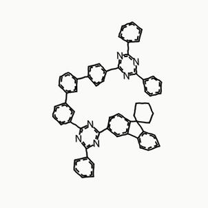 c1ccc(-c2nc(-c3ccccc3)nc(-c3ccc(-c4cccc(-c5cccc(-c6nc(-c7ccccc7)nc(-c7ccc8c(c7)-c7ccccc7C87CCCCC7)n6)c5)c4)cc3)n2)cc1